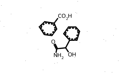 NC(=O)C(O)c1ccccc1.O=C(O)c1ccccc1